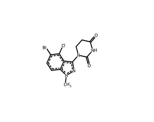 Cn1nc(N2CCC(=O)NC2=O)c2c(Cl)c(Br)ccc21